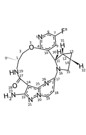 C[C@@H]1COc2ncc(F)cc2[C@@H]2[C@@H]3C[C@@H]3CN2c2ccn3nc(N)c(c3n2)C(=O)N1